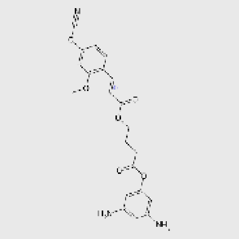 COc1cc(OC#N)ccc1/C=C/C(=O)OCCCC(=O)Oc1cc(N)cc(N)c1